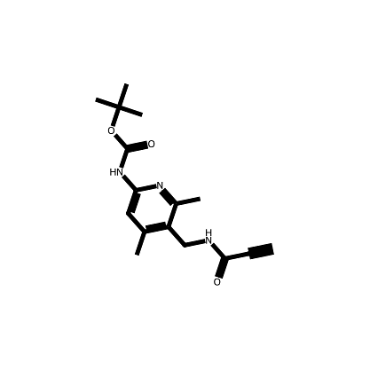 C#CC(=O)NCc1c(C)cc(NC(=O)OC(C)(C)C)nc1C